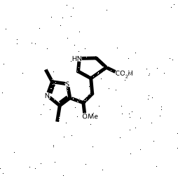 COC(CC1CNCC1C(=O)O)c1sc(C)nc1C